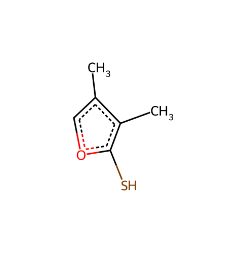 Cc1coc(S)c1C